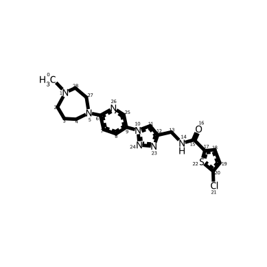 CN1CCCN(c2ccc(-n3cc(CNC(=O)c4ccc(Cl)s4)nn3)cn2)CC1